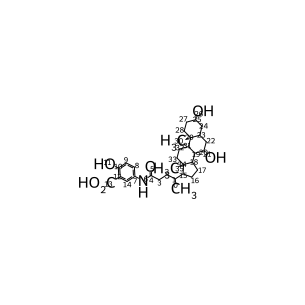 CC(CCC(=O)Nc1ccc(O)c(C(=O)O)c1)C1CCC2C3C(O)CC4CC(O)CCC4(C)C3CCC12C